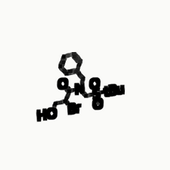 CC(C)(C)S(=O)(=O)CN(Cc1ccccc1)C(=O)C(Br)CO